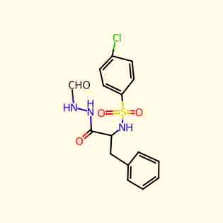 O=CNNC(=O)C(Cc1ccccc1)NS(=O)(=O)c1ccc(Cl)cc1